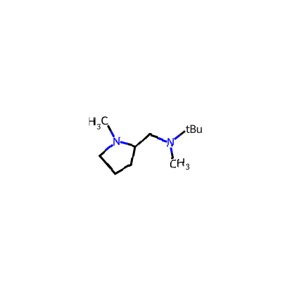 CN1CCCC1CN(C)C(C)(C)C